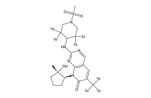 [2H]C([2H])([2H])c1cc2cnc(NC3C([2H])([2H])CN(S(C)(=O)=O)CC3([2H])[2H])nc2n([C@H]2CCC[C@]2(C)O)c1=O